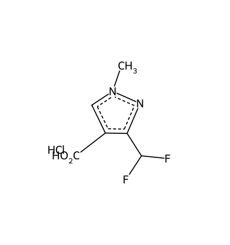 Cl.Cn1cc(C(=O)O)c(C(F)F)n1